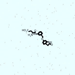 N[C@@H](CCC(=O)O)C(=O)Nc1cccc(COc2ccc3c(c2)NC(=O)C3)c1